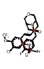 CC(C)C(=O)Nc1cc(Cl)c(OC(F)(F)F)cc1/C=C/C(=O)N1C2COCC1CN(Cc1ccc(F)cc1)C2